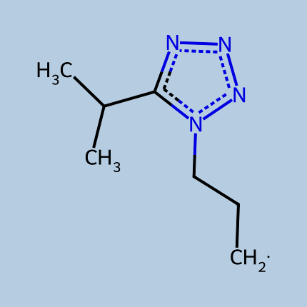 [CH2]CCn1nnnc1C(C)C